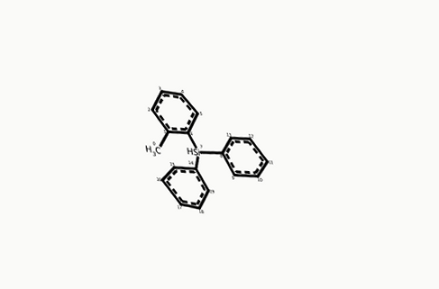 Cc1ccccc1[SiH](c1ccccc1)c1ccccc1